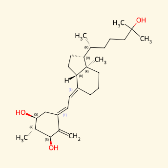 C=C1/C(=C/C=C2\CCC[C@]3(C)[C@@H]([C@H](C)CCCC(C)(C)O)CC[C@@H]23)C[C@H](O)[C@@H](C)[C@@H]1O